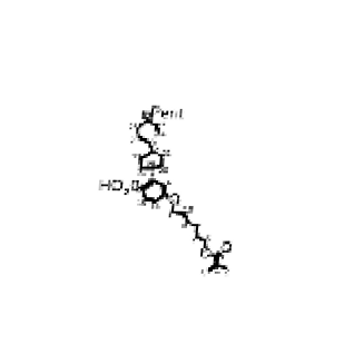 C=C(C)C(=O)OCCCCCCOc1ccc(C(=O)O)c([C@H]2CC[C@H]([C@H]3CC[C@H](CCCCC)CC3)CC2)c1